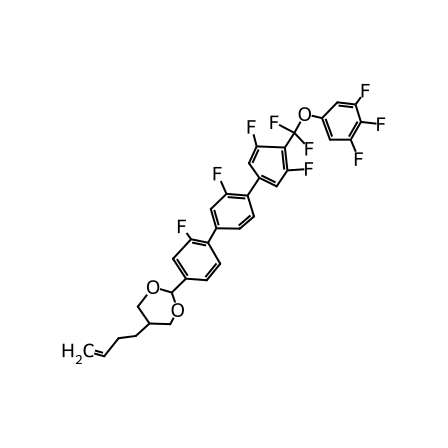 C=CCCC1COC(c2ccc(-c3ccc(-c4cc(F)c(C(F)(F)Oc5cc(F)c(F)c(F)c5)c(F)c4)c(F)c3)c(F)c2)OC1